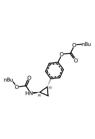 CCCCOC(=O)N[C@@H]1C[C@H]1c1ccc(OC(=O)OCCCC)cc1